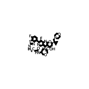 C=CC(=O)NC1COCCN(c2c3c(nc4c(F)c(-c5ccc(F)c6sc(N)nc56)ncc24)O[C@H](C2(CN4CCOCC4)CC2)C[C@@]3(C)O)C1